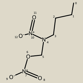 CCCCN(CO[N+](=O)[O-])[N+](=O)[O-]